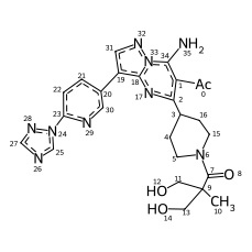 CC(=O)c1c(C2CCN(C(=O)C(C)(CO)CO)CC2)nc2c(-c3ccc(-n4cncn4)nc3)cnn2c1N